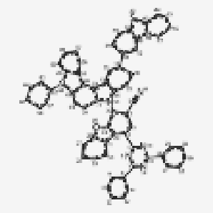 N#Cc1cc(-c2nc(-c3ccccc3)nc(-c3ccccc3)n2)c2c(oc3ccccc32)c1-n1c2ccc(-c3ccc4sc5ccccc5c4c3)cc2c2c3c4ccccc4n(-c4ccccc4)c3ccc21